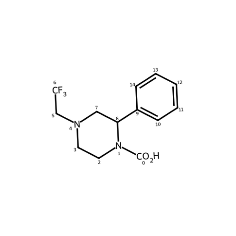 O=C(O)N1CCN(CC(F)(F)F)CC1c1ccccc1